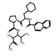 COC(=O)C(O)C(NC(=O)C1CCCN1C(=O)C(CC1CCCCC1)NC(=O)c1ccc2ccccc2c1)C(C)C